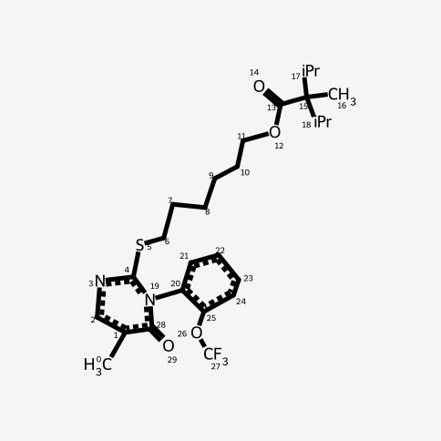 Cc1cnc(SCCCCCCOC(=O)C(C)(C(C)C)C(C)C)n(-c2ccccc2OC(F)(F)F)c1=O